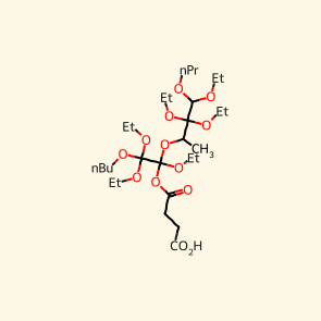 CCCCOC(OCC)(OCC)C(OCC)(OC(=O)CCC(=O)O)OC(C)C(OCC)(OCC)C(OCC)OCCC